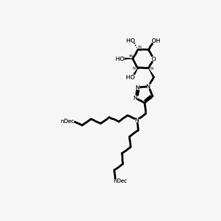 CCCCCCCCCCCCCCCCN(CCCCCCCCCCCCCCCC)Cc1cn(C[C@@H]2OC(O)[C@@H](O)[C@H](O)[C@@H]2O)nn1